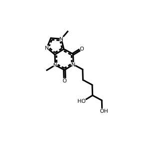 Cn1cnc2c1c(=O)n(CCCC(O)CO)c(=O)n2C